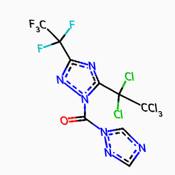 O=C(n1cncn1)n1nc(C(F)(F)C(F)(F)F)nc1C(Cl)(Cl)C(Cl)(Cl)Cl